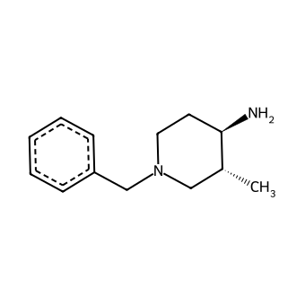 C[C@@H]1CN(Cc2ccccc2)CC[C@H]1N